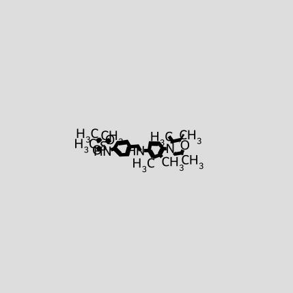 Cc1c(NCc2ccc(NS(=O)(=O)C(C)(C)C)cc2)ccc(N2C[C@H](C)O[C@H](C)C2C)c1C